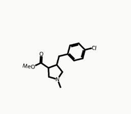 COC(=O)C1CN(C)CC1Cc1ccc(Cl)cc1